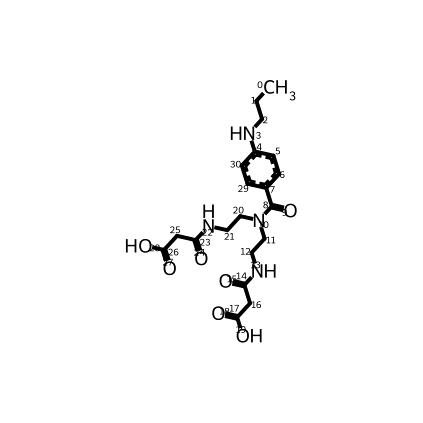 CCCNc1ccc(C(=O)N(CCNC(=O)CC(=O)O)CCNC(=O)CC(=O)O)cc1